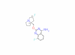 Nc1nc(OC[C@@]23CCCN2C[C@H](F)C3)nc2c(F)cccc12